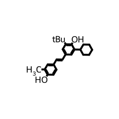 Cc1cc(C=Cc2cc(C3CCCCC3)c(O)c(C(C)(C)C)c2)ccc1O